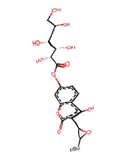 CCCCC1OC1c1c(O)c2ccc(OC(=O)[C@H](O)[C@@H](O)[C@H](O)[C@H](O)CO)cc2oc1=O